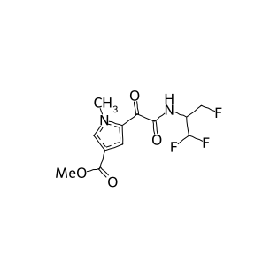 COC(=O)c1cc(C(=O)C(=O)NC(CF)C(F)F)n(C)c1